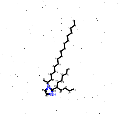 CCCCCCCCCCCCCCCCC(C)[n+]1cc[nH]c1C(CCCC)CCCCC